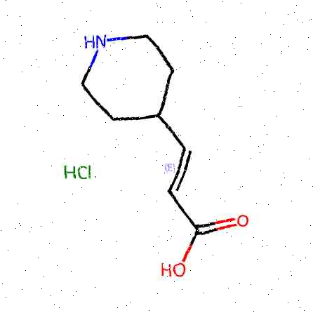 Cl.O=C(O)/C=C/C1CCNCC1